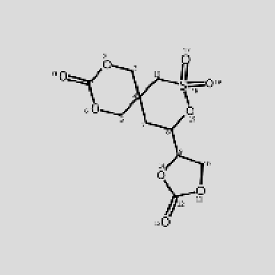 O=C1OCC2(CO1)CC(C1COC(=O)O1)OS(=O)(=O)C2